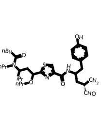 CCCCC(=O)N(CCC)C(CC(OCCC)c1nc(C(=O)NC(Cc2ccc(O)cc2)C[C@H](C)C=O)cs1)C(C)C